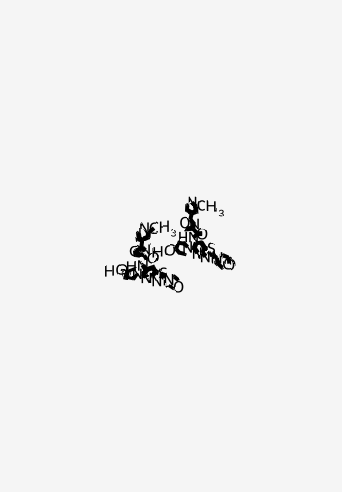 Cc1cc(-c2nc(C(=O)Nc3cc4sc(N5CCOCC5)nc4nc3N3CCC(O)CC3)co2)ccn1.Cc1cc(-c2nc(C(=O)Nc3cc4sc(N5CCOCC5)nc4nc3N3CC[C@@H](O)C3)co2)ccn1